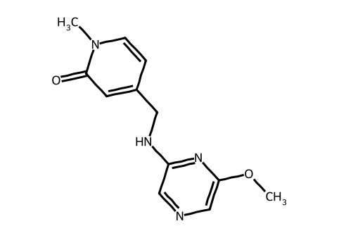 COc1cncc(NCc2ccn(C)c(=O)c2)n1